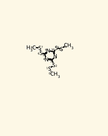 CSSc1nc(SSC)nc(SSC)n1